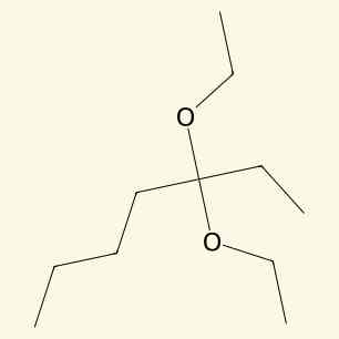 CCCCC(CC)(OCC)OCC